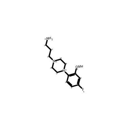 COc1cc(F)ccc1N1CCN(CCCN)CC1